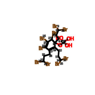 O[Si](O)(O)OC1(CCC(Br)Br)C(CCC(Br)Br)=C(CCC(Br)Br)C(Br)=C(Br)C1Br